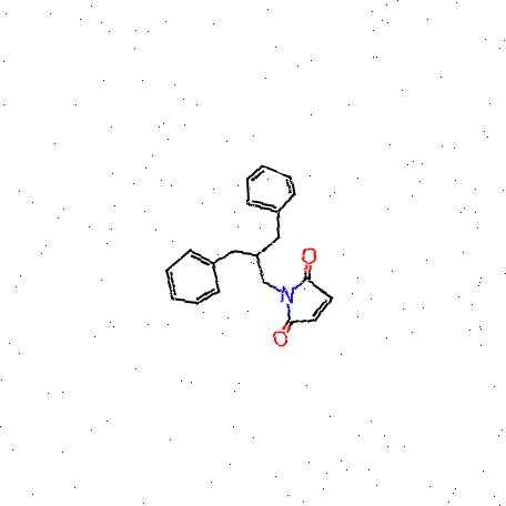 O=C1C=CC(=O)N1CC(Cc1ccccc1)Cc1ccccc1